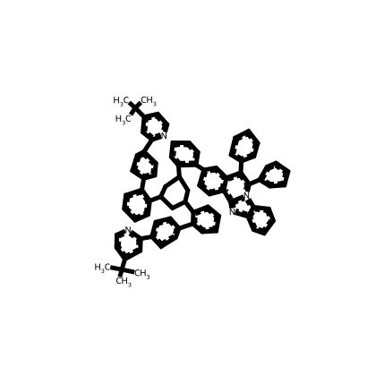 CC(C)(C)c1ccnc(-c2ccc(-c3ccccc3C3CC(c4ccccc4-c4ccc(-c5cc(C(C)(C)C)ccn5)cc4)CC(c4ccccc4-c4ccc5c(c4)c(-c4ccccc4)c(-c4ccccc4)n4c6ccccc6nc54)C3)cc2)c1